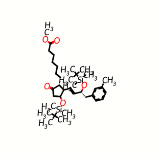 COC(=O)CCCCCC[C@H]1C(=O)CC(O[Si](C)(C)C(C)(C)C)C1/C=C/[C@@H](Cc1cccc(C)c1)O[Si](C)(C)C(C)(C)C